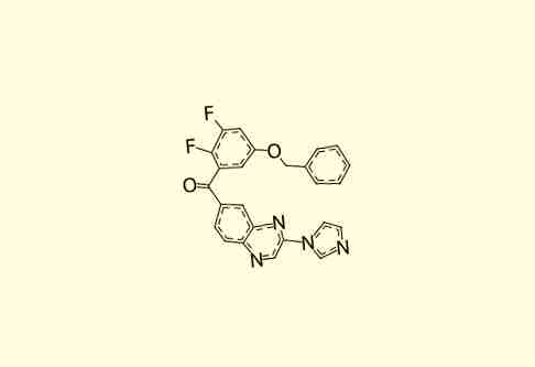 O=C(c1ccc2ncc(-n3ccnc3)nc2c1)c1cc(OCc2ccccc2)cc(F)c1F